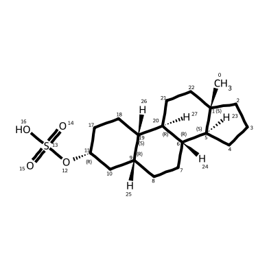 C[C@@]12CCC[C@H]1[C@@H]1CC[C@@H]3C[C@H](OS(=O)(=O)O)CC[C@@H]3[C@H]1CC2